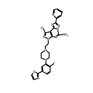 Nc1nc2c(c(Cl)nn2CCN2CCN(c3cc(-c4ncco4)ccc3F)CC2)c2nc(-c3ccccn3)nn12